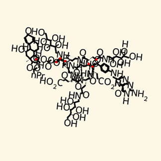 CCCC1O[C@@H]2CC3[C@@H]4CCC5=CC(=O)C=C[C@@H]5C4[C@@H](O)C[C@]3(C)[C@]2(C(=O)COC(=O)OCCSSCCNC(=O)[C@H](CCC(=O)NC[C@H](O)[C@@H](O)[C@H](O)[C@H](O)CO)NC(=O)[C@H](CCC(=O)O)NC(=O)[C@H](CCC(=O)NC[C@H](O)[C@@H](O)[C@H](O)[C@H](O)CO)NC(=O)[C@H](CCC(=O)O)NC(=O)[C@H](CCC(=O)NC[C@H](O)[C@@H](O)[C@H](O)[C@H](O)CO)NC(=O)CCCNC(=O)c2ccc(NCc3cnc4nc(N)[nH]c(=O)c4n3)cc2)O1